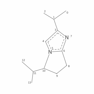 CC(C)c1cn2c(n1)CCC2C(C)C